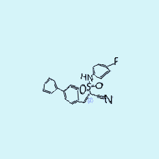 N#C/C(=C/c1ccc(-c2ccccc2)cc1)S(=O)(=O)Nc1ccc(F)cc1